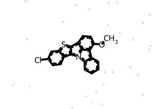 COc1ccc2c3sc4cc(Cl)ccc4c3n3c4ccccc4c1c23